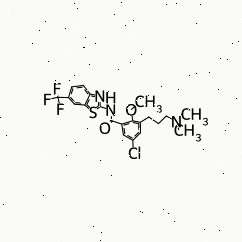 COc1c(CCCN(C)C)cc(Cl)cc1C(=O)Nc1nc2ccc(C(F)(F)F)cc2s1